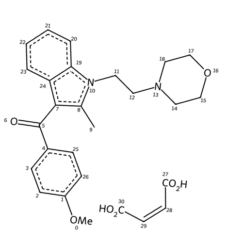 COc1ccc(C(=O)c2c(C)n(CCN3CCOCC3)c3ccccc23)cc1.O=C(O)/C=C\C(=O)O